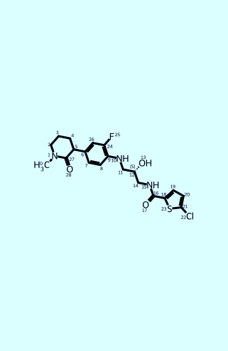 CN1CCCC(c2ccc(NC[C@H](O)CNC(=O)c3ccc(Cl)s3)c(F)c2)C1=O